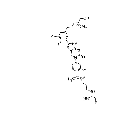 C[C@H](NCCCNC(=N)CF)c1ccc(-n2cc3cc(-c4cc(CCC[C@@H](N)CO)cc(Cl)c4F)[nH]c3nc2=O)cc1F